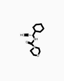 C#C[C@@H](NC(=O)N1CCOCC1)C1CCCCC1